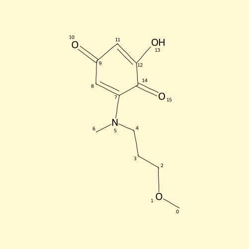 COCCCN(C)C1=CC(=O)C=C(O)C1=O